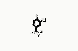 C[C@H](c1ccc(F)c(Cl)c1)N(C)C